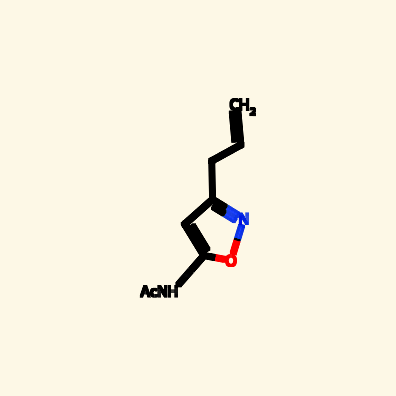 C=CCc1cc(NC(C)=O)on1